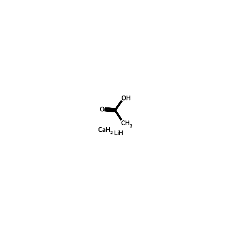 CC(=O)O.[CaH2].[LiH]